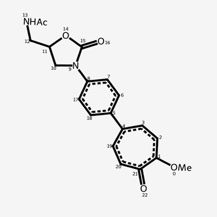 COc1ccc(-c2ccc(N3CC(CNC(C)=O)OC3=O)cc2)ccc1=O